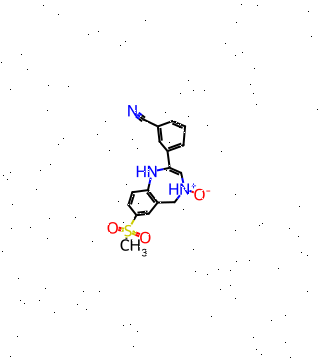 CS(=O)(=O)c1ccc2c(c1)C[NH+]([O-])C=C(c1cccc(C#N)c1)N2